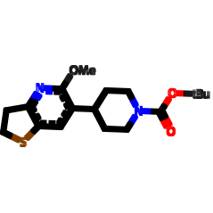 COc1nc2c(cc1C1CCN(C(=O)OC(C)(C)C)CC1)SCC2